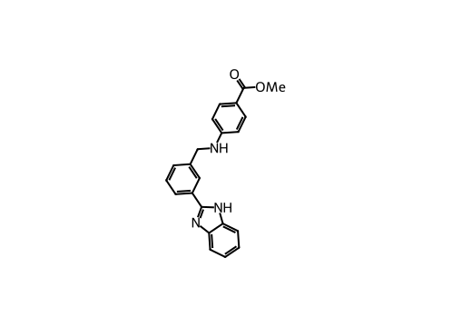 COC(=O)c1ccc(NCc2cccc(-c3nc4ccccc4[nH]3)c2)cc1